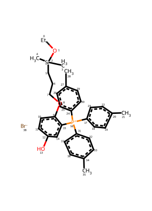 CCO[Si](C)(C)CCCOc1ccc(O)cc1[P+](c1ccc(C)cc1)(c1ccc(C)cc1)c1ccc(C)cc1.[Br-]